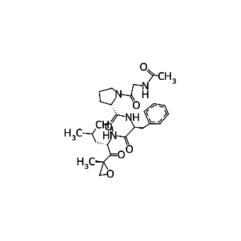 CC(=O)NCC(=O)N1CCC[C@H]1C(=O)N[C@@H](Cc1ccccc1)C(=O)N[C@@H](CC(C)C)C(=O)[C@@]1(C)CO1